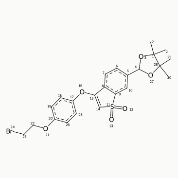 CC1(C)OC(c2ccc3c(c2)S(=O)(=O)C=C3Oc2ccc(OCCBr)cc2)OC1(C)C